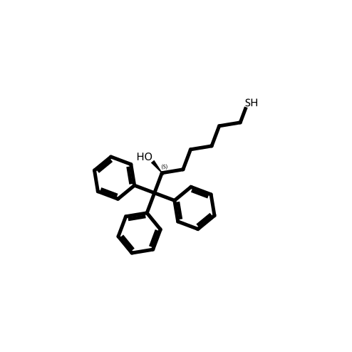 O[C@@H](CCCCCS)C(c1ccccc1)(c1ccccc1)c1ccccc1